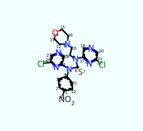 O=[N+]([O-])c1ccc(N(C(=S)N(CCN2CCOCC2)c2cncc(Cl)n2)c2cncc(Cl)n2)cc1